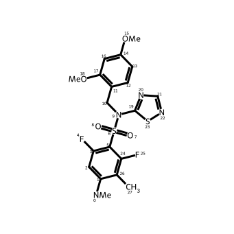 CNc1cc(F)c(S(=O)(=O)N(Cc2ccc(OC)cc2OC)c2ncns2)c(F)c1C